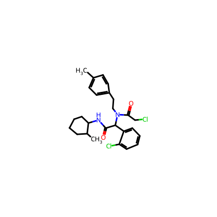 Cc1ccc(CCN(C(=O)CCl)C(C(=O)NC2CCCCC2C)c2ccccc2Cl)cc1